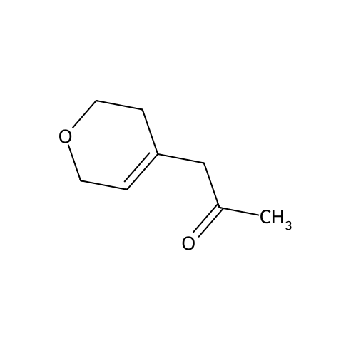 CC(=O)CC1=CCOCC1